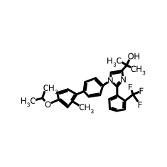 Cc1cc(OC(C)C)ccc1-c1ccc(-n2cc(C(C)(C)O)nc2-c2ccccc2C(F)(F)F)cc1